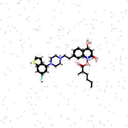 CCCCC(C)C(=O)On1c(=O)cc(O)c2ccc(CCN3CCN(c4cc(F)cc5sccc45)CC3)cc21